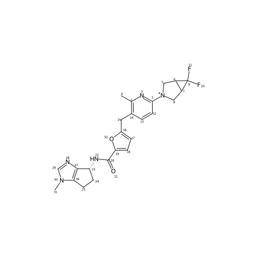 Cc1nc(N2CC3C(C2)C3(F)F)ccc1Cc1ccc(C(=O)N[C@@H]2CCc3c2ncn3C)o1